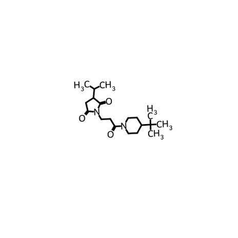 CC(C)C1CC(=O)N(CCC(=O)N2CCC(C(C)(C)C)CC2)C1=O